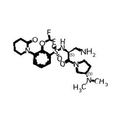 CN(C)[C@H]1CCN(C(=O)[C@H](CN)NS(=O)(=O)c2cccc(N3CCCCC3=O)c2OC(F)F)C1